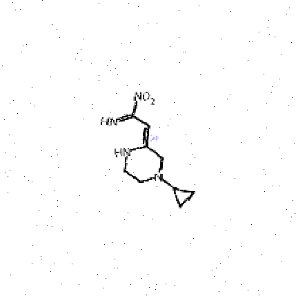 N=C(/C=C1/CN(C2CC2)CCN1)[N+](=O)[O-]